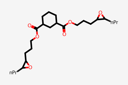 CCCC1OC1CCCOC(=O)C1CCCC(C(=O)OCCCC2OC2CCC)C1